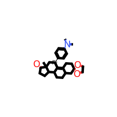 CN(C)c1ccc([C@H]2CC3(C)C(=O)CCC3C3CCC4CC5(CCC4=C32)OCCO5)cc1